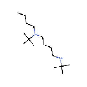 CCCCN(CCCCNC(C)(C)C)C(C)(C)C